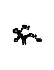 CNS(=O)(=O)S